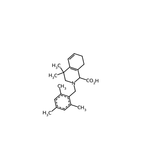 Cc1cc(C)c(CN2CC(C)(C)C3=C(CCC=C3)C2C(=O)O)c(C)c1